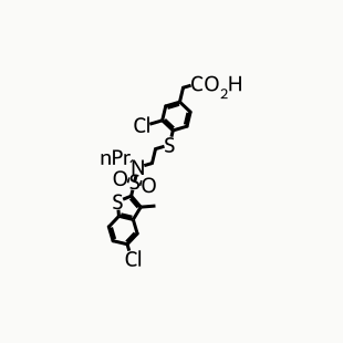 CCCN(CCSc1ccc(CC(=O)O)cc1Cl)S(=O)(=O)c1sc2ccc(Cl)cc2c1C